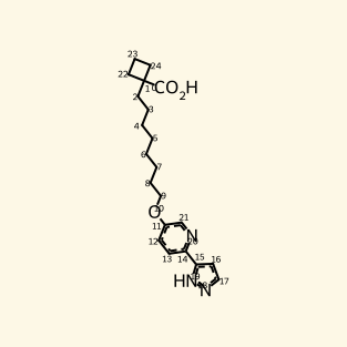 O=C(O)C1(CCCCCCCCOc2ccc(-c3ccn[nH]3)nc2)CCC1